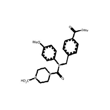 COC(=O)c1ccc(CN(C(=O)N2CCN(C(=O)O)CC2)c2ccc(OC)cc2)cc1